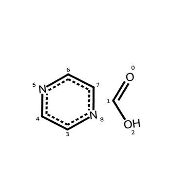 O=CO.c1cnccn1